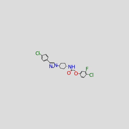 O=C(COc1ccc(Cl)c(F)c1)N[C@H]1CC[C@H](n2cnc(-c3ccc(Cl)cc3)c2)CC1